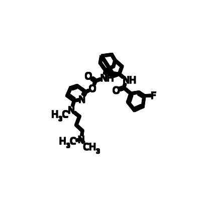 CN(C)CCCN(C)c1cccc(OC(=O)NC23CC4CC(C2)CC(NC(=O)c2cccc(F)c2)(C4)C3)n1